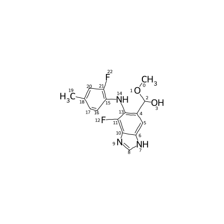 COC(O)c1cc2[nH]cnc2c(F)c1Nc1ccc(C)cc1F